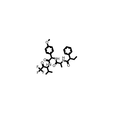 CCC(C(=O)NC(C)C(=O)NC(C(=O)NC(C(=O)C(F)(F)F)C(C)C)c1ccc(OC)cc1)c1ccccc1